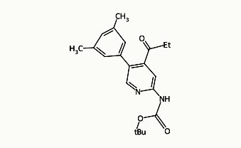 CCC(=O)c1cc(NC(=O)OC(C)(C)C)ncc1-c1cc(C)cc(C)c1